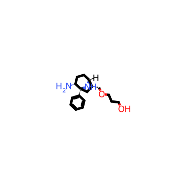 N[C@@H]1CC[C@@H]2N[C@@]1(c1ccccc1)C[C@H]2COCCCO